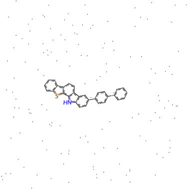 c1ccc(-c2ccc(-c3ccc4[nH]c5c(ccc6c7ccccc7sc65)c4c3)cc2)cc1